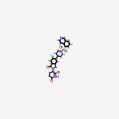 O=C1CCC(N2Cc3cc(C4CCN(S(=O)(=O)c5cccc6cnccc56)CC4)c(F)cc3C2=O)C(=O)N1